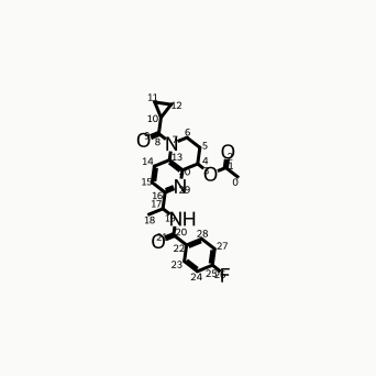 CC(=O)OC1CCN(C(=O)C2CC2)c2ccc(C(C)NC(=O)c3ccc(F)cc3)nc21